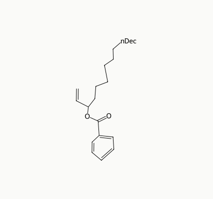 C=CC(CCCCCCCCCCCCCCCC)OC(=O)c1ccccc1